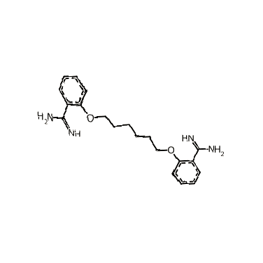 N=C(N)c1ccccc1OCCCCCCOc1ccccc1C(=N)N